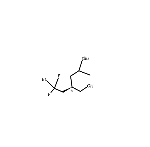 CCC(F)(F)C[C@H](CO)CC(C)C(C)(C)C